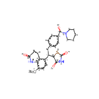 COc1ccc(C(Cc2ccc(C(=O)N3CCCCC3)cc2)C2SC(=O)NC2=O)c2c1NC(=O)CC2